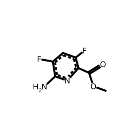 COC(=O)c1nc(N)c(F)cc1F